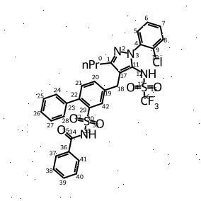 CCCc1nn(-c2ccccc2Cl)c(NS(=O)(=O)C(F)(F)F)c1Cc1ccc(-c2ccccc2)c(S(=O)(=O)NC(=O)c2ccccc2)c1